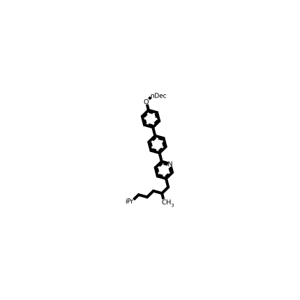 CCCCCCCCCCOc1ccc(-c2ccc(-c3ccc(CC(C)CCCC(C)C)cn3)cc2)cc1